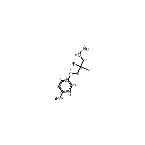 CC(C)c1ccc(OCC(F)(F)COC(C)(C)C)cn1